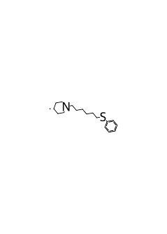 [CH]1CCN(CCCCCCSc2ccccc2)CC1